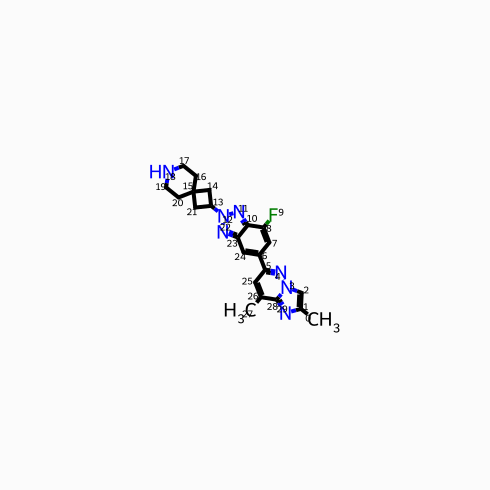 Cc1cn2nc(-c3cc(F)c4nn(C5CC6(CCNCC6)C5)nc4c3)cc(C)c2n1